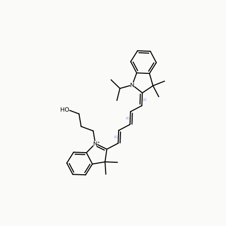 CC(C)N1\C(=C/C=C/C=C/C2=[N+](CCCO)c3ccccc3C2(C)C)C(C)(C)c2ccccc21